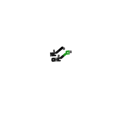 CC#N.O=CCl